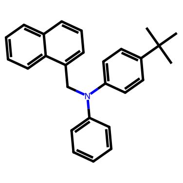 CC(C)(C)c1ccc(N(Cc2cccc3ccccc23)c2ccccc2)cc1